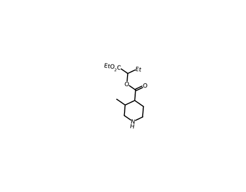 CCOC(=O)C(CC)OC(=O)C1CCNCC1C